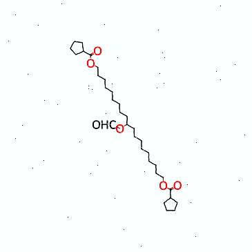 O=COC(CCCCCCCCCOC(=O)C1CCCC1)CCCCCCCCCOC(=O)C1CCCC1